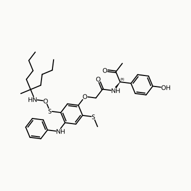 CCCCC(C)(CCCC)NOSc1cc(OCC(=O)N[C@@H](C(C)=O)c2ccc(O)cc2)c(SC)cc1Nc1ccccc1